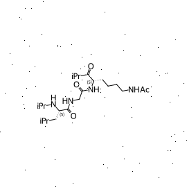 CC(=O)NCCCC[C@H](NC(=O)CNC(=O)[C@H](CC(C)C)NC(C)C)C(=O)C(C)C